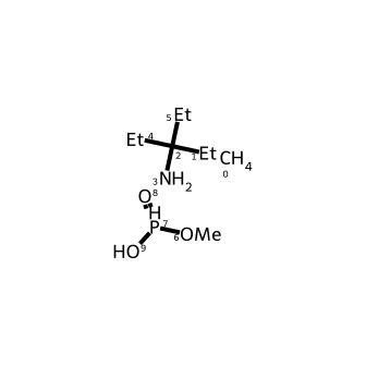 C.CCC(N)(CC)CC.CO[PH](=O)O